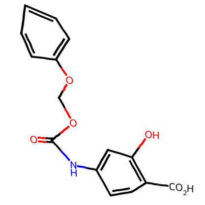 O=C(Nc1ccc(C(=O)O)c(O)c1)OCOc1ccccc1